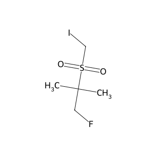 CC(C)(CF)S(=O)(=O)CI